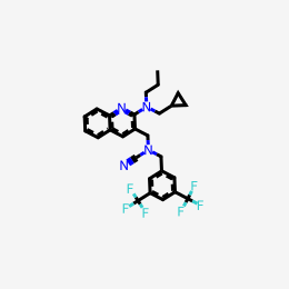 CCCN(CC1CC1)c1nc2ccccc2cc1CN(C#N)Cc1cc(C(F)(F)F)cc(C(F)(F)F)c1